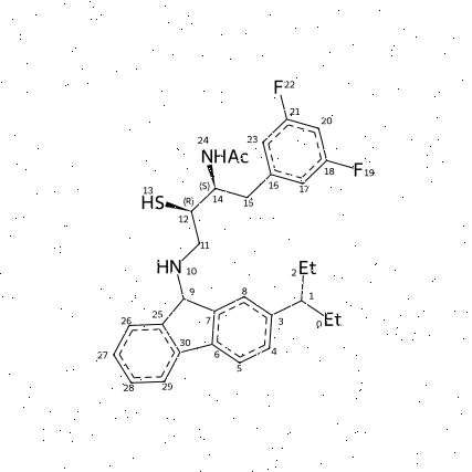 CCC(CC)c1ccc2c(c1)C(NC[C@@H](S)[C@H](Cc1cc(F)cc(F)c1)NC(C)=O)c1ccccc1-2